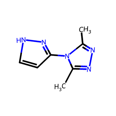 Cc1nnc(C)n1-c1cc[nH]n1